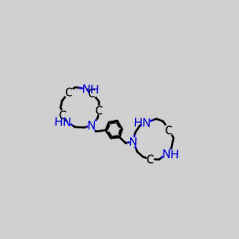 c1cc(CN2CCCCNCCCCCNCC2)cc(CN2CCCCNCCCCCNCC2)c1